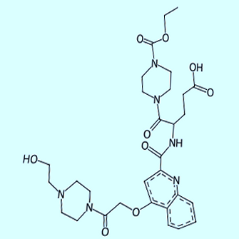 CCOC(=O)N1CCN(C(=O)C(CCC(=O)O)NC(=O)c2cc(OCC(=O)N3CCN(CCO)CC3)c3ccccc3n2)CC1